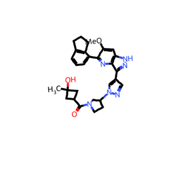 COc1cc2[nH]nc(-c3cnn(C4CCN(C(=O)C5CC(C)(O)C5)C4)c3)c2nc1-c1cccc2c1CCC2